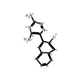 Nc1nnc(-c2cc3ccccc3cc2Cl)c(N)n1